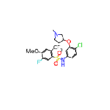 COc1cc(C(F)(F)F)c(S(=O)(=O)Nc2ccc(Cl)c(OC3CCN(C)C3)c2)cc1F